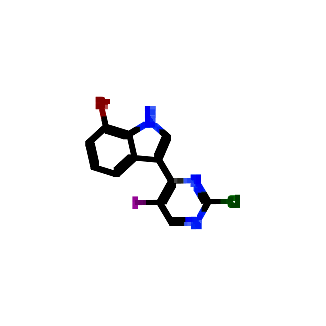 Clc1ncc(I)c(-c2c[nH]c3c(Br)cccc23)n1